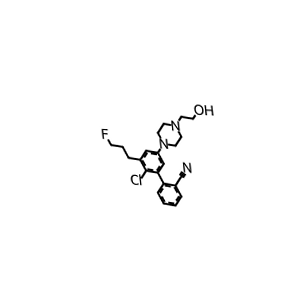 N#Cc1ccccc1-c1cc(N2CCN(CCO)CC2)cc(CCCF)c1Cl